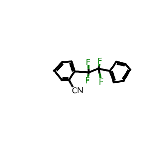 N#Cc1ccccc1C(F)(F)C(F)(F)c1ccccc1